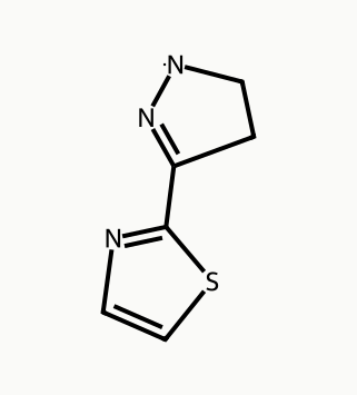 c1csc(C2=N[N]CC2)n1